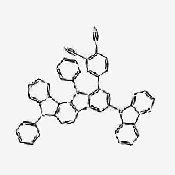 N#Cc1ccc(-c2cc(-n3c4ccccc4c4ccccc43)cc3c4ccc5c(c6ccccc6n5-c5ccccc5)c4n(-c4ccccc4)c23)cc1C#N